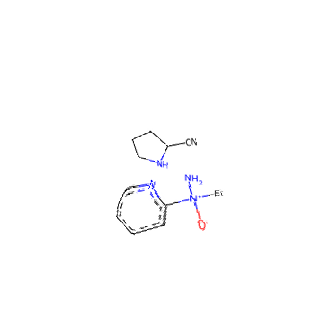 CC[N+](N)([O-])c1ccccn1.N#CC1CCCN1